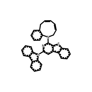 C1=C\Cc2ccccc2N(c2nc(-n3c4ccccc4c4ccccc43)cc3c2sc2ccccc23)C\C=C/1